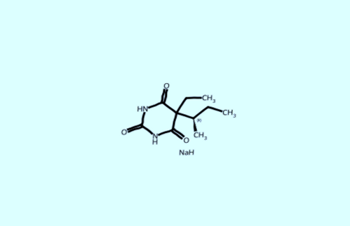 CC[C@@H](C)C1(CC)C(=O)NC(=O)NC1=O.[NaH]